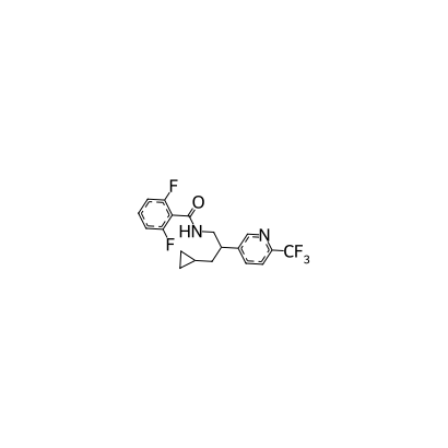 O=C(NCC(CC1CC1)c1ccc(C(F)(F)F)nc1)c1c(F)cccc1F